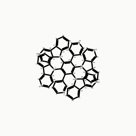 c1cncc(-c2c(-n3c4ccccc4c4cnccc43)c(-n3c4ccccc4c4cnccc43)c(-c3ccncc3)c(-n3c4ccccc4c4cnccc43)c2-n2c3ccccc3c3cnccc32)c1